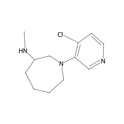 CNC1CCCCN(c2cnccc2Cl)C1